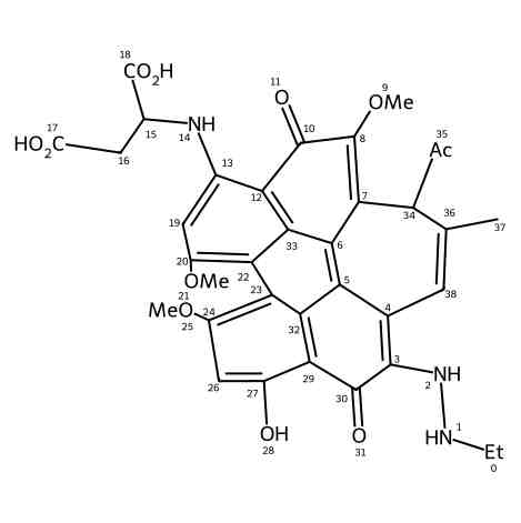 CCNNc1c2c3c4c(c(OC)c(=O)c5c(NC(CC(=O)O)C(=O)O)cc(OC)c(c6c(OC)cc(O)c(c1=O)c63)c54)C(C(C)=O)C(C)=C2